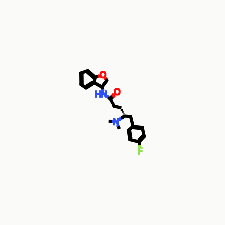 CN(C)[C@H](CCC(=O)NC1COc2ccccc21)Cc1ccc(F)cc1